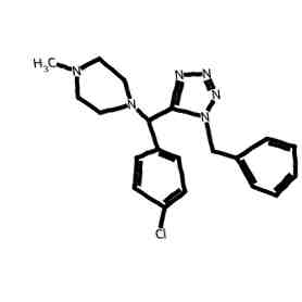 CN1CCN(C(c2ccc(Cl)cc2)c2nnnn2Cc2ccccc2)CC1